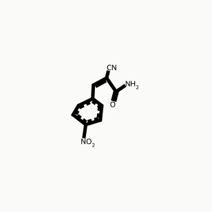 N#CC(=Cc1ccc([N+](=O)[O-])cc1)C(N)=O